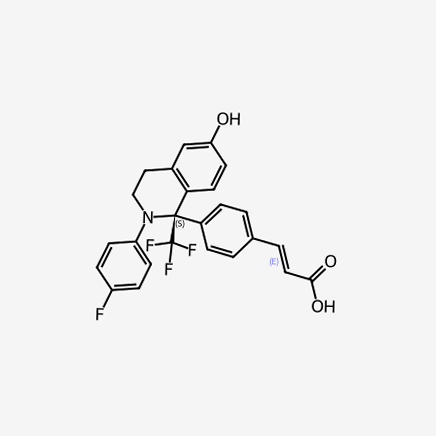 O=C(O)/C=C/c1ccc([C@@]2(C(F)(F)F)c3ccc(O)cc3CCN2c2ccc(F)cc2)cc1